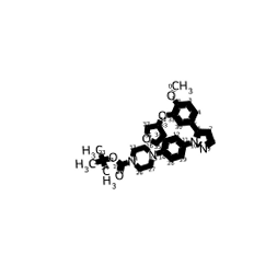 COc1ccc(-c2ccnn2-c2ccc(N3CCN(C(=O)OC(C)(C)C)CC3)cc2)cc1OC1CCOC1